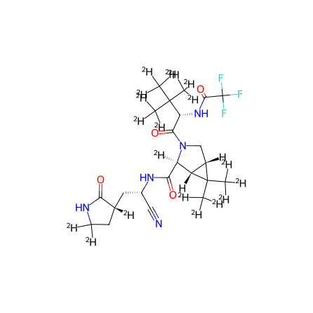 [2H]C1([2H])C[C@@]([2H])(C[C@@H](C#N)NC(=O)[C@]2([2H])[C@@H]3[C@H](CN2C(=O)[C@@H](NC(=O)C(F)(F)F)C(C([2H])([2H])[2H])(C([2H])([2H])[2H])C([2H])([2H])[2H])C3(C([2H])([2H])[2H])C([2H])([2H])[2H])C(=O)N1